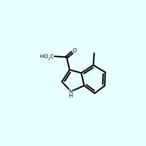 Cc1cccc2[nH]cc(C(=O)C(=O)O)c12